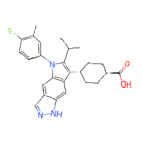 Cc1cc(-n2c(C(C)C)c([C@H]3CC[C@H](C(=O)O)CC3)c3cc4[nH]ncc4cc32)ccc1F